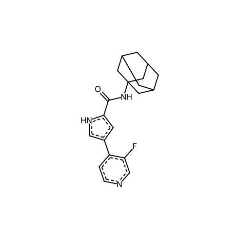 O=C(NC12CC3CC(CC(C3)C1)C2)c1cc(-c2ccncc2F)c[nH]1